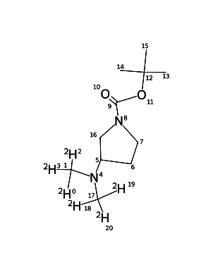 [2H]C([2H])([2H])N(C1CCN(C(=O)OC(C)(C)C)C1)C([2H])([2H])[2H]